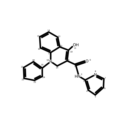 O=C(Nc1ccccn1)C1=C(O)c2ccccc2N(c2ccccc2)C1